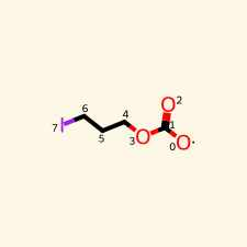 [O]C(=O)OCCCI